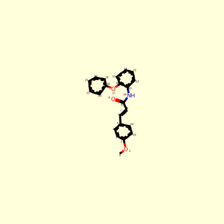 COc1ccc(/C=C/C(=O)Nc2ccccc2Oc2ccccc2)cc1